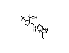 CCc1cnc2ccc(NCC3CCC(C(C)(C)C)N3C(=O)O)nn12